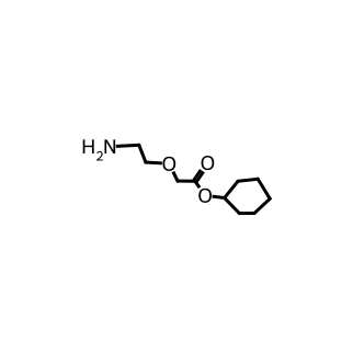 NCCOCC(=O)OC1CCCCC1